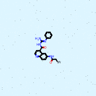 CC(C)CC(=O)Nc1ccc2nccc(C(=O)NC(N)=Nc3ccccc3)c2c1